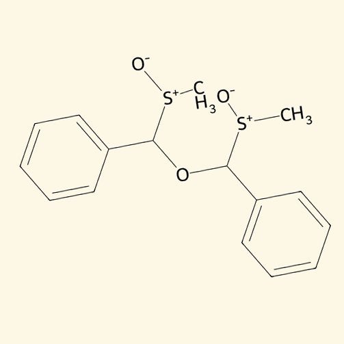 C[S+]([O-])C(OC(c1ccccc1)[S+](C)[O-])c1ccccc1